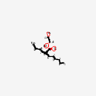 CCCCCCC(CCCC)C(=O)OCC=O